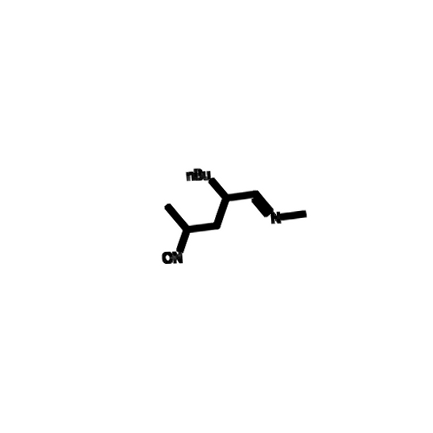 CCCCC(/C=N/C)CC(C)N=O